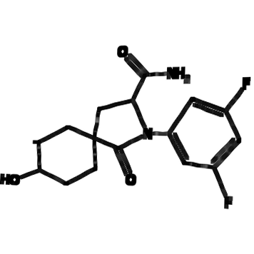 NC(=O)C1CC2(C[CH]C(O)CC2)C(=O)N1c1cc(F)cc(F)c1